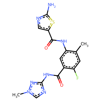 Cc1cc(F)c(C(=O)Nc2ncn(C)n2)cc1NC(=O)c1cnc(N)s1